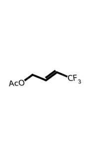 CC(=O)OCC=CC(F)(F)F